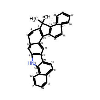 CC1(C)c2ccc3cc4[nH]c5c6ccccc6ccc5c4cc3c2-c2ccc3ccccc3c21